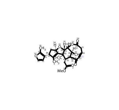 COC(=O)C[C@H]1[C@]2(C)C3=C(C)[C@H](c4ccoc4C)C[C@H]3O[C@@H]2[C@@H]2OC(=O)C/C=C\C(=O)[C@@]1(C)[C@@H]2C